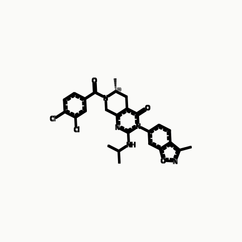 Cc1noc2cc(-n3c(NC(C)C)nc4c(c3=O)C[C@@H](C)N(C(=O)c3ccc(Cl)c(Cl)c3)C4)ccc12